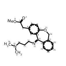 COC(=O)Cc1ccc2c(c1)/C(=N\CCCN(C)C)c1ccccc1CO2